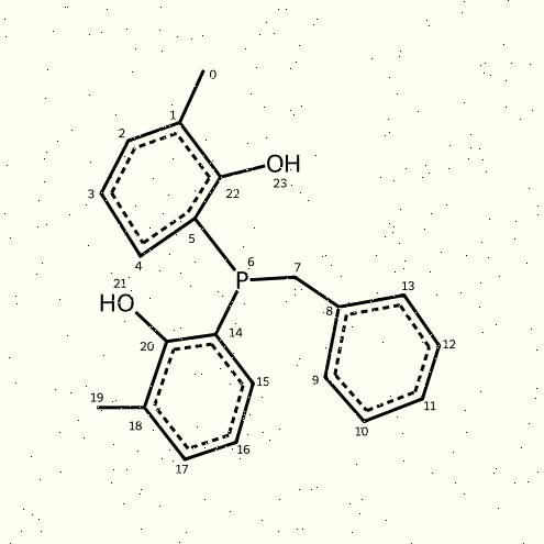 Cc1cccc(P(Cc2ccccc2)c2cccc(C)c2O)c1O